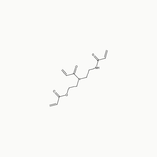 C=CC(=O)NCCN(CCOC(=O)C=C)C(=O)C=C